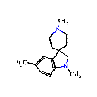 [CH2]N1CCC2(CC1)CN(C)c1ccc(C)cc12